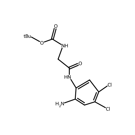 CC(C)(C)OC(=O)NCC(=O)Nc1cc(Cl)c(Cl)cc1N